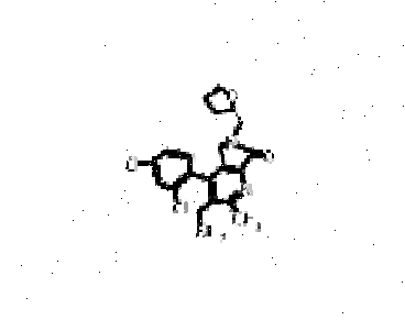 Cc1nc2c(c(-c3ccc(Cl)cc3Cl)c1CN)CN(C[C@@H]1CCCO1)C2=O